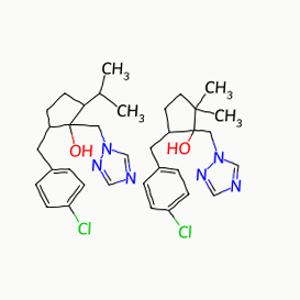 CC(C)C1CCC(Cc2ccc(Cl)cc2)C1(O)Cn1cncn1.CC1(C)CCC(Cc2ccc(Cl)cc2)C1(O)Cn1cncn1